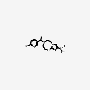 CC(c1ccc(Br)nc1)N1CCOc2nc([N+](=O)[O-])cn2CC1